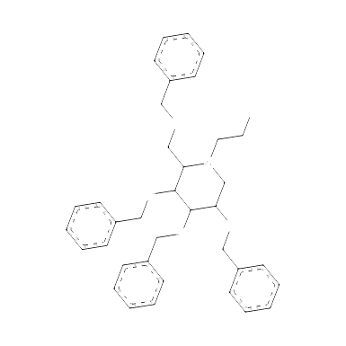 CCCN1CC(OCc2ccccc2)C(OCc2ccccc2)C(OCc2ccccc2)C1COCc1ccccc1